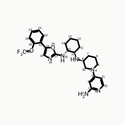 Nc1cc(N2CCC[C@H](N[C@@H]3CCCC[C@H]3Nc3ncc(-c4ccccc4OC(F)(F)F)o3)C2)ccn1